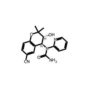 CC1(C)Oc2ccc(C#N)cc2[C@H](N(C(N)=O)c2ccccn2)[C@H]1O